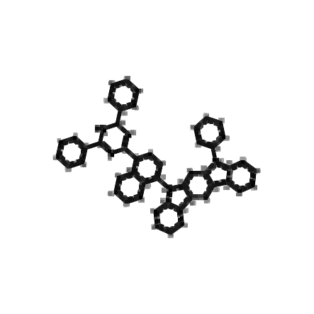 c1ccc(C2=NC(c3ccc(-n4c5ccccc5c5cc6c7ccccc7n(-c7ccccc7)c6cc54)c4ccccc34)=NC(c3ccccc3)N2)cc1